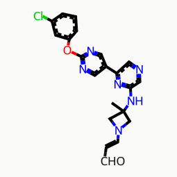 CC1(Nc2cncc(-c3cnc(Oc4cccc(Cl)c4)nc3)n2)CN(C=CC=O)C1